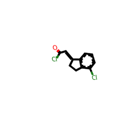 O=C(Cl)/C=C1\CCc2c(Cl)cccc21